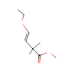 CCOC=CC(C)(C)C(=O)OC